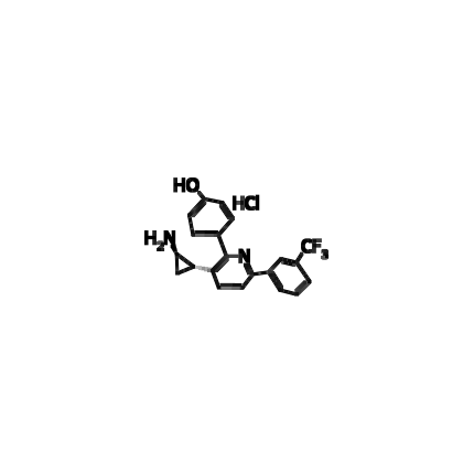 Cl.N[C@@H]1C[C@H]1c1ccc(-c2cccc(C(F)(F)F)c2)nc1-c1ccc(O)cc1